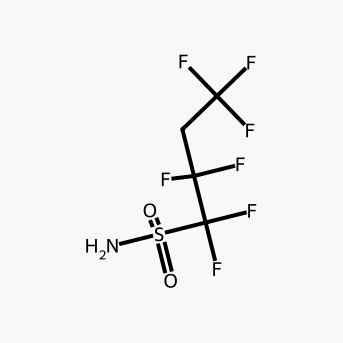 NS(=O)(=O)C(F)(F)C(F)(F)CC(F)(F)F